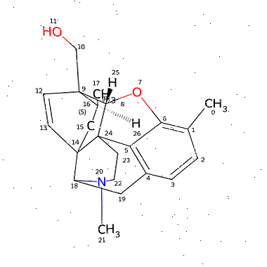 Cc1ccc2c3c1O[C@H]1C4(CO)C=CC5(C[C@@H]4C)C(C2)N(C)CCC315